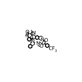 Cc1c(C(=O)N(C)c2ccccc2)cc(-c2cc3c(cc2C(=O)N2Cc4ccccc4C[C@H]2CN2CCOCC2)CN(C(=O)Oc2ccc(C(F)(F)F)cc2)CC3)n1C